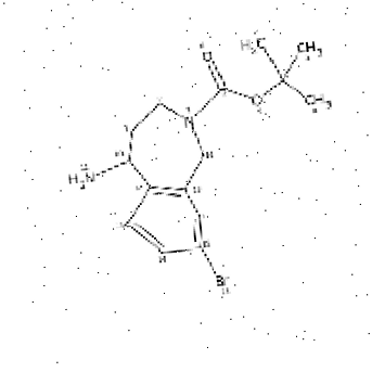 CC(C)(C)OC(=O)N1CCC(N)c2ccc(Br)cc2C1